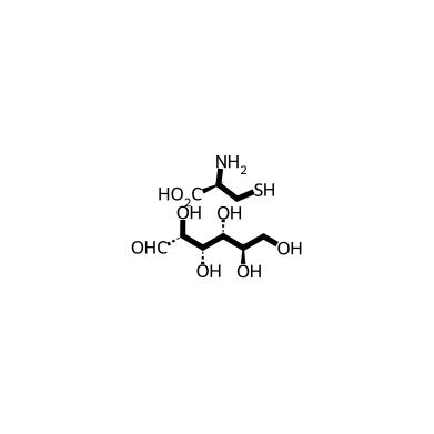 N[C@@H](CS)C(=O)O.O=C[C@H](O)[C@@H](O)[C@H](O)[C@H](O)CO